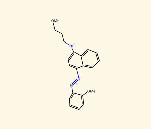 COCCCNc1ccc(/N=N/c2ccccc2OC)c2ccccc12